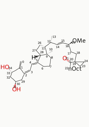 C=C1/C(=C\C=C2/CCC[C@]3(C)[C@@H]([C@H](C)/C=C/[C@H](CCC4(C(=O)CCCCCCCC)CC4)OC)CC[C@@H]23)C[C@@H](O)C[C@@H]1O